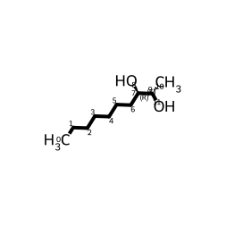 CCCCCCC[C@@H](O)[C@H](C)O